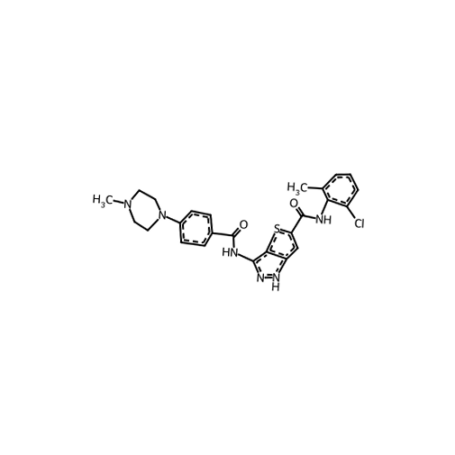 Cc1cccc(Cl)c1NC(=O)c1cc2[nH]nc(NC(=O)c3ccc(N4CCN(C)CC4)cc3)c2s1